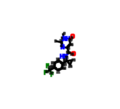 CN/C(C)=N\C(=C/C=O)C(=O)NC1(c2ccc(C(F)(F)F)cc2)CC1